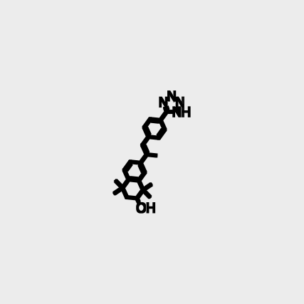 C/C(=C\c1ccc(-c2nnn[nH]2)cc1)c1ccc2c(c1)C(C)(C)C(O)CC2(C)C